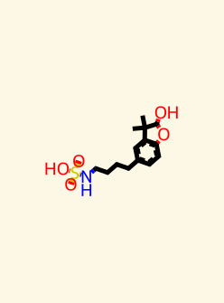 CC1(C)c2cc(CCCCNS(=O)(=O)O)ccc2OC1O